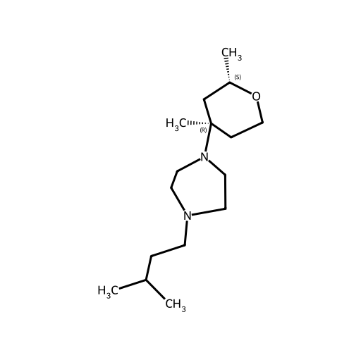 CC(C)CCN1CCN([C@]2(C)CCO[C@@H](C)C2)CC1